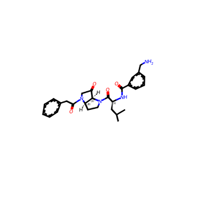 CC(C)C[C@H](NC(=O)c1cccc(CN)c1)C(=O)N1CC[C@@H]2[C@H]1C(=O)CN2C(=O)Cc1ccccc1